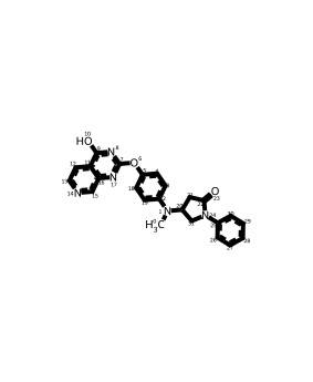 CN(c1ccc(Oc2nc(O)c3ccncc3n2)cc1)C1CC(=O)N(c2ccccc2)C1